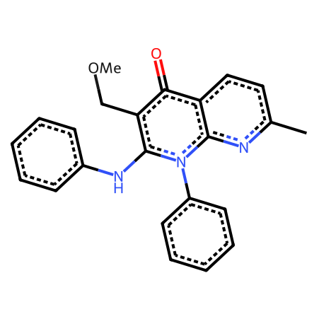 COCc1c(Nc2ccccc2)n(-c2ccccc2)c2nc(C)ccc2c1=O